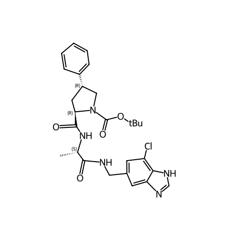 C[C@H](NC(=O)[C@H]1C[C@H](c2ccccc2)CN1C(=O)OC(C)(C)C)C(=O)NCc1cc(Cl)c2[nH]cnc2c1